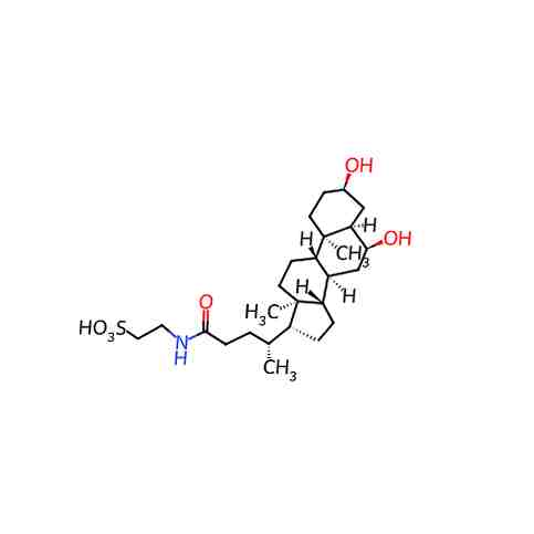 C[C@H](CCC(=O)NCCS(=O)(=O)O)[C@H]1CC[C@H]2[C@@H]3C[C@H](O)[C@@H]4C[C@H](O)CC[C@]4(C)[C@H]3CC[C@]12C